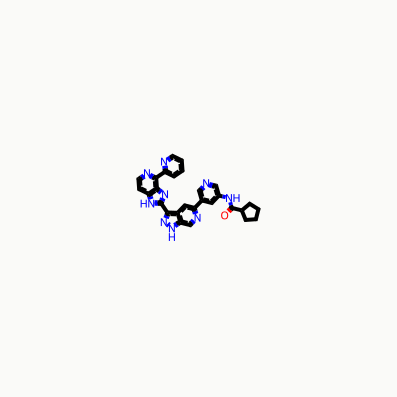 O=C(Nc1cncc(-c2cc3c(-c4nc5c(-c6ccccn6)nccc5[nH]4)n[nH]c3cn2)c1)C1CCCC1